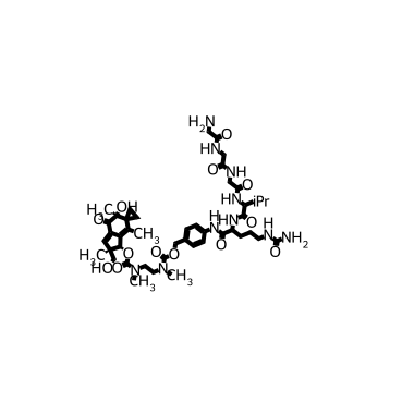 CC1=C2C(=C[C@@](C)(CO)[C@@H]2OC(=O)N(C)CCN(C)C(=O)OCc2ccc(NC(=O)C(CCCNC(N)=O)NC(=O)C(NC(=O)CNC(=O)CNC(=O)CN)C(C)C)cc2)C(=O)[C@](C)(O)C12CC2